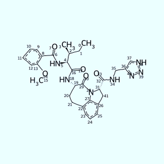 CC[C@H](C)[C@H](NC(=O)c1ccccc1OC)C(=O)N[C@H]1CCc2cccc3c2N(C1=O)[C@H](C(=O)NCc1c[nH]nn1)C3